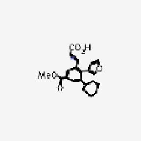 COC(=O)c1cc(/C=C/C(=O)O)c(-c2ccoc2)c(C2CCCCC2)c1